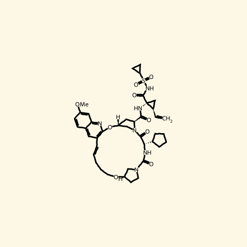 C=C[C@@H]1C[C@]1(NC(=O)[C@@H]1C[C@@H]2CN1C(=O)[C@H](C1CCCC1)NC(=O)N1CC[C@H](C1)OCCC/C=C/c1cc3ccc(OC)cc3nc1O2)C(=O)NS(=O)(=O)C1CC1